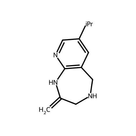 C=C1CNCc2cc(C(C)C)cnc2N1